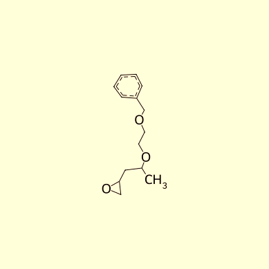 CC(CC1CO1)OCCOCc1ccccc1